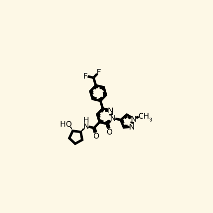 Cn1cc(-n2nc(-c3ccc(C(F)F)cc3)cc(C(=O)N[C@H]3CCC[C@@H]3O)c2=O)cn1